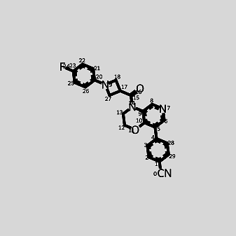 N#Cc1ccc(-c2cncc3c2OCCN3C(=O)C2CN(c3ccc(F)cc3)C2)cc1